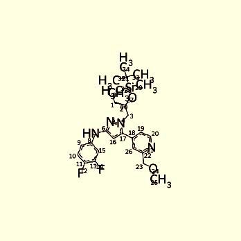 CC[C@H](Cn1nc(Nc2ccc(F)c(F)c2)cc1-c1ccnc(COC)c1)O[Si](C)(C)C(C)(C)C